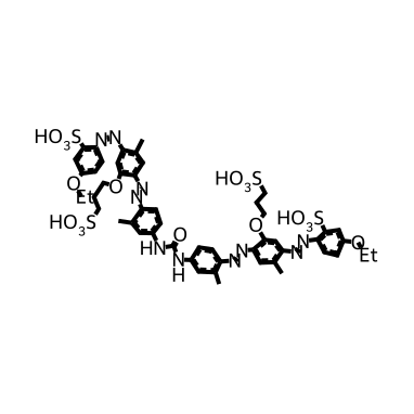 CCOc1ccc(N=Nc2cc(OCCCS(=O)(=O)O)c(N=Nc3ccc(NC(=O)Nc4ccc(N=Nc5cc(C)c(/N=N\c6ccc(OCC)cc6S(=O)(=O)O)cc5OCCCS(=O)(=O)O)c(C)c4)cc3C)cc2C)c(S(=O)(=O)O)c1